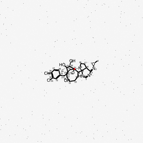 CO/N=C1/N=CNC2(C3CCCCCCC3)C1CCN2[C@@H]1O[C@H]([C@H](O)c2ccc(Cl)c(Cl)c2)[C@@](C)(O)[C@H]1O